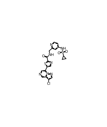 O=C(NCc1cc(NS(=O)(=O)C2CC2)ccn1)c1ncc(-c2cncc3c(Cl)cnn23)s1